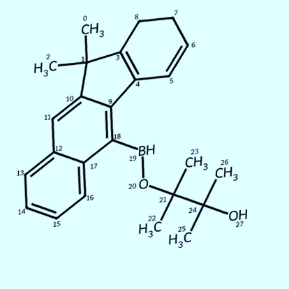 CC1(C)C2=C(C=CCC2)c2c1cc1ccccc1c2BOC(C)(C)C(C)(C)O